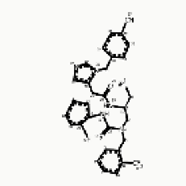 CC(C)C[C@@H](CN(Cc1ccccc1C(F)(F)F)C(=S)Nc1ccccc1F)NC(=O)Cc1cncn1Cc1ccc(C#N)cc1